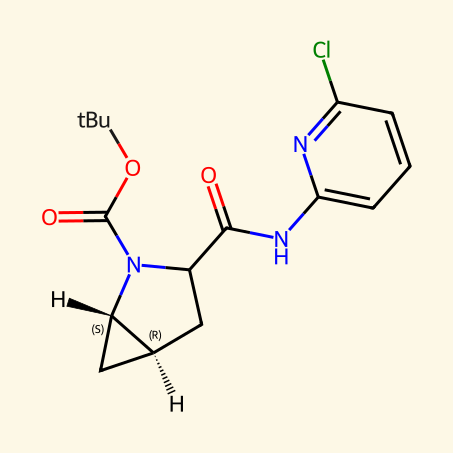 CC(C)(C)OC(=O)N1C(C(=O)Nc2cccc(Cl)n2)C[C@H]2C[C@@H]21